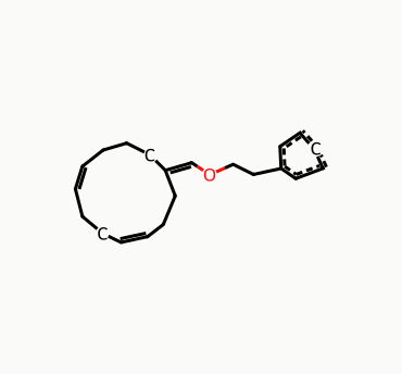 C1=CCCCC(=COCCc2ccccc2)CCC=CCC1